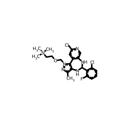 Cc1nn(COCC[Si](C)(C)C)c2c1NC(c1c(F)cccc1Cl)Nc1cnc(Cl)cc1-2